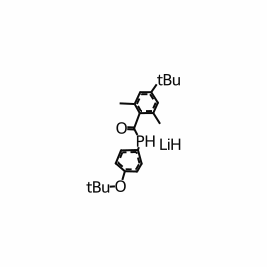 Cc1cc(C(C)(C)C)cc(C)c1C(=O)Pc1ccc(OC(C)(C)C)cc1.[LiH]